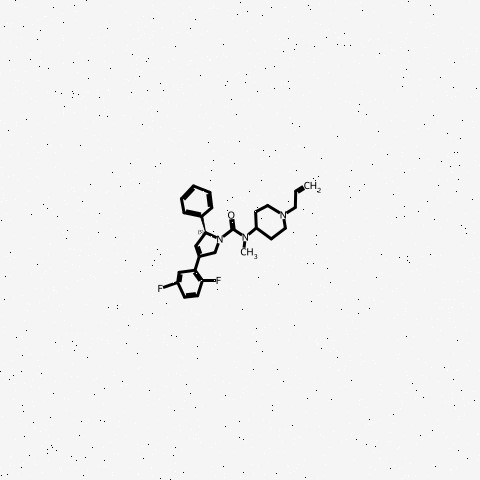 C=CCN1CCC(N(C)C(=O)N2CC(c3cc(F)ccc3F)=C[C@H]2c2ccccc2)CC1